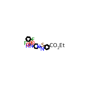 CCOC(=O)c1ccc2nc(N3CCC(NS(=O)(=O)c4c(F)cccc4F)CC3)sc2c1